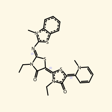 CCN1C(=O)/C(=c2/s/c(=C3/C=CC=CN3C)c(=O)n2CC)S/C1=N\c1sc2ccccc2[n+]1C